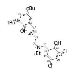 CCN(CC/N=C/C1=CC(C(C)(C)C)=CC(C(C)(C)C)C1O)CC1C=C(Cl)C=C(Cl)C1O